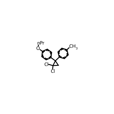 CCCOc1ccc(C2(c3ccc(C)cc3)CC2(Cl)Cl)cc1